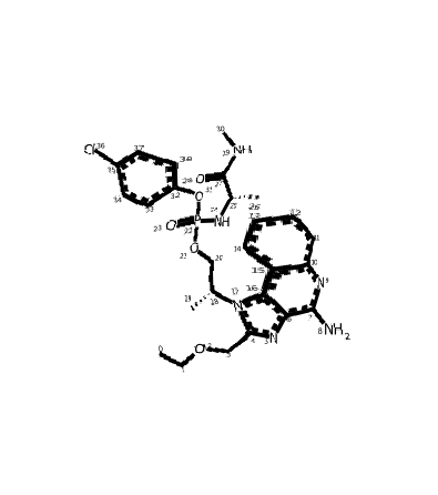 CCOCc1nc2c(N)nc3ccccc3c2n1[C@H](C)COP(=O)(N[C@@H](C)C(=O)NC)Oc1ccc(Cl)cc1